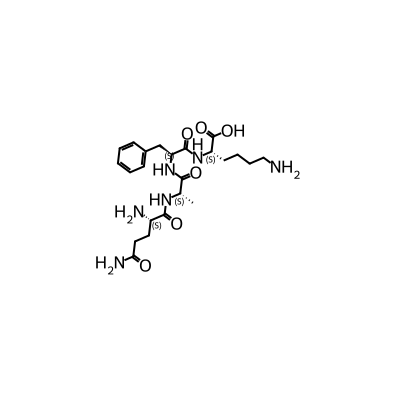 C[C@H](NC(=O)[C@@H](N)CCC(N)=O)C(=O)N[C@@H](Cc1ccccc1)C(=O)N[C@@H](CCCCN)C(=O)O